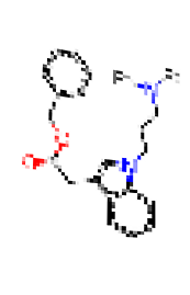 CCN(CC)CCCn1cc(CC(=O)OCc2ccccc2)c2ccccc21